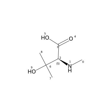 CN[C@H](C(=O)O)C(C)(C)O